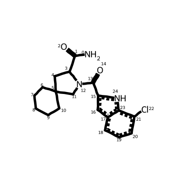 NC(=O)C1CC2(CCCCC2)CN1C(=O)c1cc2cccc(Cl)c2[nH]1